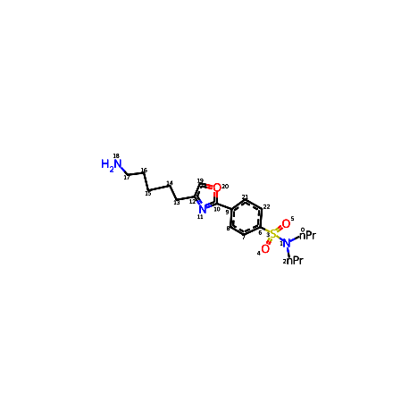 CCCN(CCC)S(=O)(=O)c1ccc(-c2nc(CCCCCN)co2)cc1